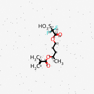 C=C(C)C(=O)OC(C)CCCOC(=O)C(F)(F)S(=O)(=O)O